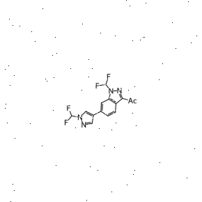 CC(=O)c1nn(C(F)F)c2cc(-c3cnn(C(F)F)c3)ccc12